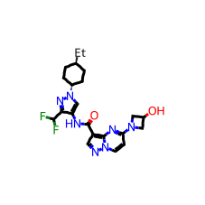 CC[C@H]1CC[C@H](n2cc(NC(=O)c3cnn4ccc(N5CC(O)C5)nc34)c(C(F)F)n2)CC1